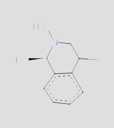 C[C@@H]1c2ccccc2C(F)CN1C